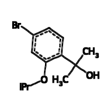 CC(C)Oc1cc(Br)ccc1C(C)(C)O